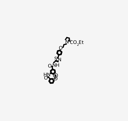 CCOC(=O)[C@@H]1CCCN1CCCOc1ccc(-c2ncc(CNC(=O)c3ccc4c(c3)NC(=O)c3ccccc3S4(=O)=O)s2)cc1